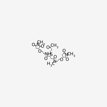 CC(=O)CCSC(CC(=O)N(C)CCOC1CC(=O)N(C)C1=O)C(=O)NCCOC1CC(=O)N(C)C1=O